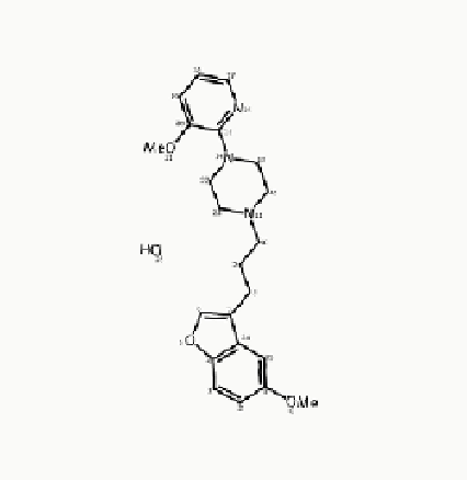 COc1ccc2occ(CCCN3CCN(c4ncccc4OC)CC3)c2c1.Cl